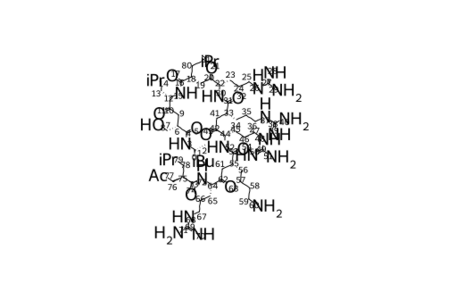 CC[C@H](C)[C@@H](C)NC(=O)[C@H](CO)CC(=O)[C@H](CC(C)C)NC(=O)[C@@H](CC(=O)[C@H](CCCNC(=N)N)NC(=O)[C@H](CCCNC(=N)N)CC(=O)[C@H](CCCNC(=N)N)NC(=O)[C@H](CCCCN)CC(=O)[C@H](CCCNC(=N)N)NC(=O)[C@@H](CC(C)=O)CC(C)C)CC(C)C